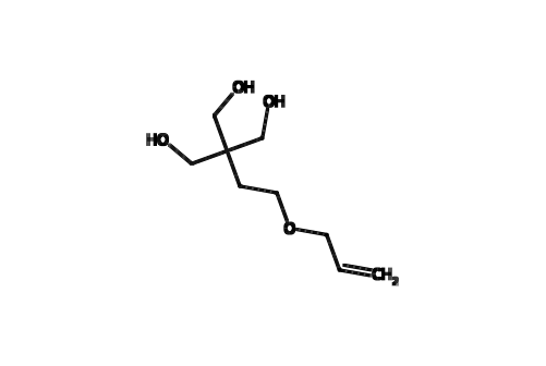 C=CCOCCC(CO)(CO)CO